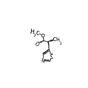 C=C(C(=O)OC)c1cncs1